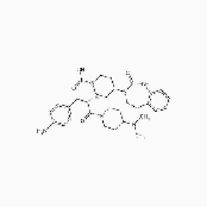 CN(C)C1CCN(C(=O)C(Cc2ccc(N)cc2)[C@H]2CC(N3CCc4ccccc4NC3=O)CCN2C(=O)O)CC1